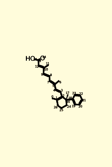 CC1=C(/C=C/C(C)=C/C=C/C(C)=C/C(=O)O)[C@](C)(c2ccccc2)CCC1